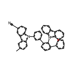 Cc1ccc2c(c1)c1cc(C#N)ccc1n2-c1cccc(-c2cccc(-c3ccccc3)c2-n2c3ccccc3c3ccccc32)c1